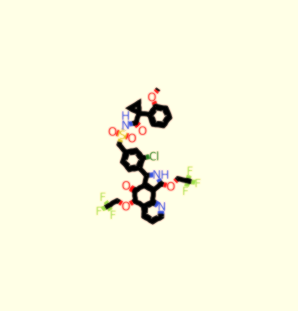 COc1ccccc1C1(C(=O)NS(=O)(=O)Cc2ccc(C3NC(OCC(F)(F)F)C4=C3C(=O)C(OCC(F)(F)F)c3cccnc34)c(Cl)c2)CC1